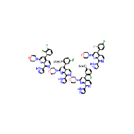 COc1ccc(F)c(-c2cc(N3CCOCC3)nc3c(-c4ccn[nH]4)nccc23)c1.COc1ccc(F)cc1-c1cc(N2CCOCC2)nc2c(-c3ccn[nH]3)nccc12.Fc1ccc(-c2cc(N3CCOCC3)nc3c(-c4ccn[nH]4)nccc23)c(F)c1.Fc1cccc(-c2cc(N3CCOCC3)nc3c(-c4ccn[nH]4)nccc23)c1F